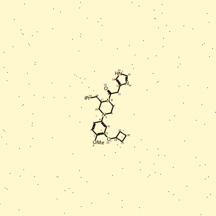 COc1ccc(N2CCN(C(=O)Cc3c[nH]cn3)C(CC(C)C)C2)cc1OC1CCC1